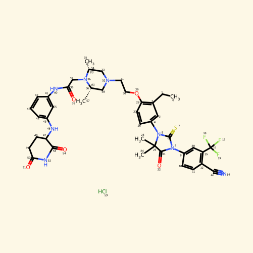 CCc1cc(N2C(=S)N(c3ccc(C#N)c(C(F)(F)F)c3)C(=O)C2(C)C)ccc1OCCN1C[C@@H](C)N(CC(=O)Nc2cccc(NC3CCC(=O)NC3=O)c2)[C@@H](C)C1.Cl